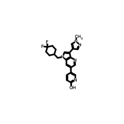 Cn1cc(-c2cn(CC3CCC(F)(F)CC3)c3cc(-c4ccc(O)nc4)cnc23)cn1